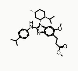 COC(=O)CCc1cc2nc(Nc3ccc(C(C)C)cc3)n([C@@H]3C[C@H](C)CC[C@H]3C(C)C)c2cc1OC